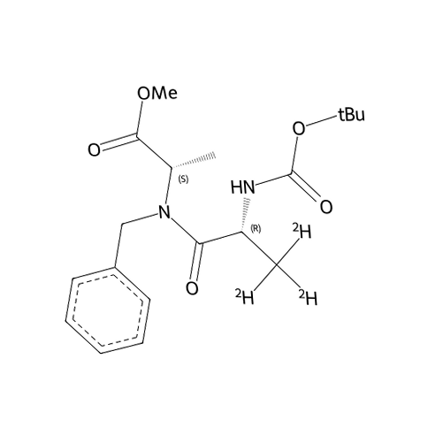 [2H]C([2H])([2H])[C@@H](NC(=O)OC(C)(C)C)C(=O)N(Cc1ccccc1)[C@@H](C)C(=O)OC